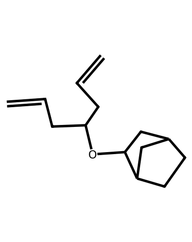 C=CCC(CC=C)OC1CC2CCC1C2